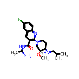 CO[C@H]1CN(c2nc3ccc(F)cc3cc2C(=O)NC(C)N)CCC1NCC(C)C